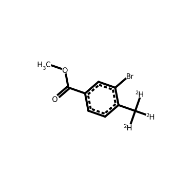 [2H]C([2H])([2H])c1ccc(C(=O)OC)cc1Br